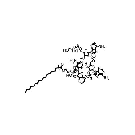 CCCCCCCCCCCCCCCCC(C)(C)C(=O)OCCSP(=O)(O)O[C@H]1C2OCCC[C@]2(COP(O)(=S)O[C@H]2C(O)[C@@H](COP(O)(=S)O[C@H]3C(OC)[C@@H](COP(=O)(O)OCCO)O[C@H]3n3cnc4c(N)ncnc43)O[C@H]2n2cnc3c(N)ncnc32)O[C@H]1n1cnc2c(N)ncnc21